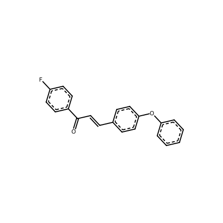 O=C(/C=C/c1ccc(Oc2ccccc2)cc1)c1ccc(F)cc1